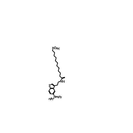 C=C(CCCCCCCCCCCCCCCCCCCCC)NCCc1csc2ccc(N(CCC)CCC)cc12